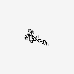 CCN1CCCN(c2ccc(-c3cc(Cl)c4cn([C@@H](C(=O)Nc5nccs5)c5ncn6c5C[C@@H](F)C6)nc4c3Cl)cc2)CC1